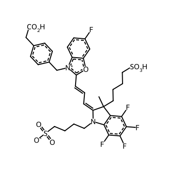 CC1(CCCCS(=O)(=O)O)/C(=C\C=C\c2oc3cc(F)ccc3[n+]2Cc2ccc(CC(=O)O)cc2)N(CCCCS(=O)(=O)[O-])c2c(F)c(F)c(F)c(F)c21